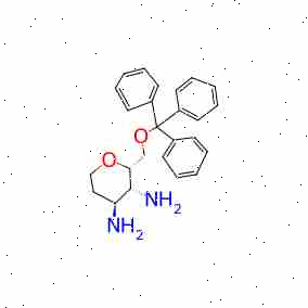 N[C@@H]1[C@@H](N)CCO[C@@H]1COC(c1ccccc1)(c1ccccc1)c1ccccc1